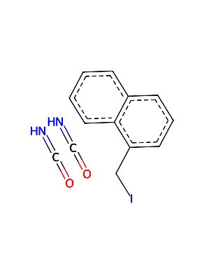 ICc1cccc2ccccc12.N=C=O.N=C=O